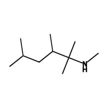 CNC(C)(C)C(C)CC(C)C